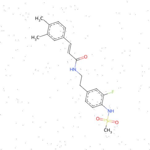 Cc1ccc(C=CC(=O)NCCc2ccc(NS(C)(=O)=O)c(F)c2)cc1C